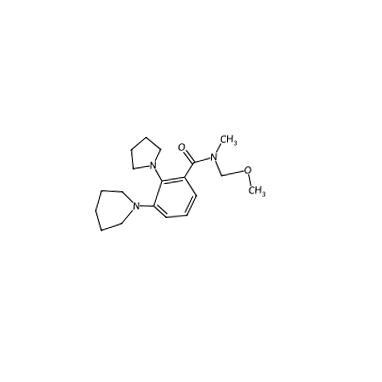 COCN(C)C(=O)c1cccc(N2CCCCC2)c1N1CCCC1